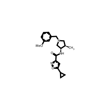 COc1cccc(CN2C[C@@H](C)[C@@H](NC(=O)c3cc(C4CC4)on3)C2)c1